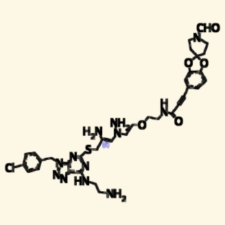 NCCNc1nc(SC/C(N)=C/N(N)CCOCCNC(=O)C#Cc2ccc3c(c2)OC2(CCN(C=O)CC2)O3)nc2c1nnn2Cc1ccc(Cl)cc1